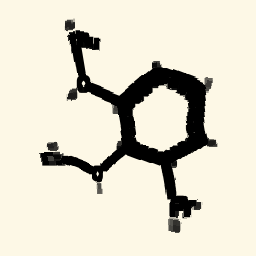 CCOc1c(OC(C)(C)C)cccc1[C](C)C